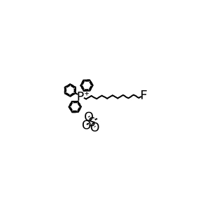 CS(=O)(=O)[O-].FCCCCCCCCCCC[P+](c1ccccc1)(c1ccccc1)c1ccccc1